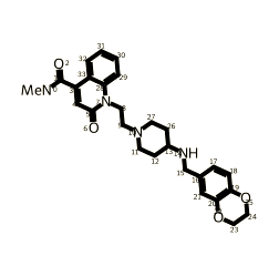 CNC(=O)c1cc(=O)n(CCN2CCC(NCc3ccc4c(c3)OCCO4)CC2)c2ccccc12